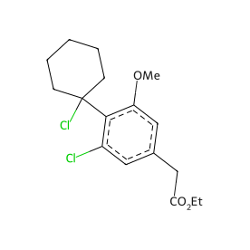 CCOC(=O)Cc1cc(Cl)c(C2(Cl)CCCCC2)c(OC)c1